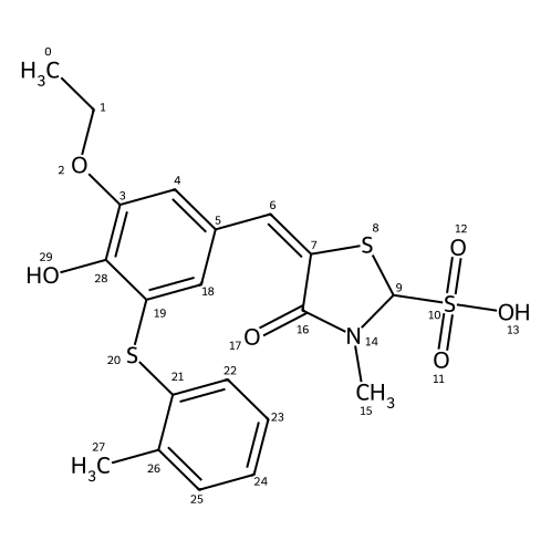 CCOc1cc(C=C2SC(S(=O)(=O)O)N(C)C2=O)cc(Sc2ccccc2C)c1O